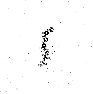 CCc1cc(Nc2nccn3c(-c4ccc(Oc5ccncn5)c(F)c4F)cnc23)ccc1C(=O)N[C@@H](C)CNC(=O)[C@H](N)CCNC(=N)N